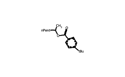 CCCCCC(C)OC(=O)c1ccc(C(C)(C)C)cc1